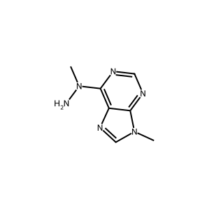 CN(N)c1ncnc2c1ncn2C